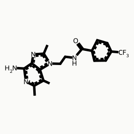 Cc1nc(N)c2nc(C)n(CCNC(=O)c3ccc(C(F)(F)F)cc3)c2c1C